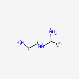 CCCC(N)NCCN